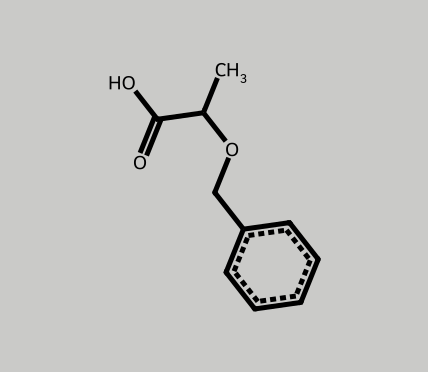 C[C](OCc1ccccc1)C(=O)O